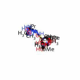 CO[C@H]1C[C@@H](C)C/C(C)=C/[C@@H](CCCSCCC(=O)NCCN2CCN(c3ccc(-c4cc(NC(C)C)c(C=N)c(C(=O)NCc5c(C)cc(C)[nH]c5=O)c4)cn3)CC2)C(=O)C[C@H](O)[C@@H](C)[C@@H](/C(C)=C/[C@@H]2CC[C@@H](O)[C@H](OC)C2)OC(=O)[C@@H]2CCCCN2C(=O)C(=O)[C@]2(O)O[C@H]1[C@@H](OC)C[C@H]2C